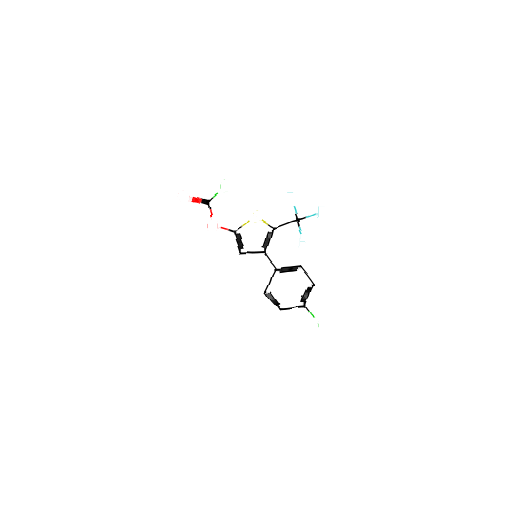 O=C(Cl)Oc1cc(-c2ccc(Cl)cc2)c(C(F)(F)F)s1